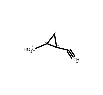 C#CC1CC1C(=O)O